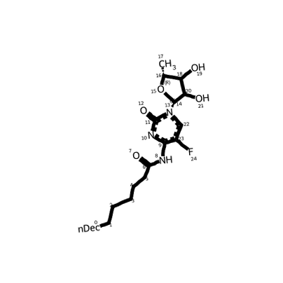 CCCCCCCCCCCCCCCC(=O)Nc1nc(=O)n([C@@H]2O[C@H](C)C(O)C2O)cc1F